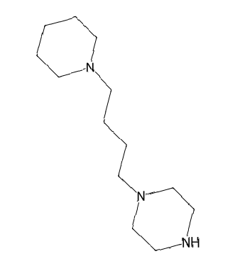 C1CCN(CCCCN2CCNCC2)CC1